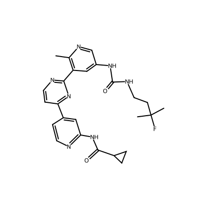 Cc1ncc(NC(=O)NCCC(C)(C)F)cc1-c1nccc(-c2ccnc(NC(=O)C3CC3)c2)n1